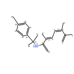 C=C(C)/C(C)=C\C=C(/C)C(=C)NC(C)(C)c1ccc(C)cc1